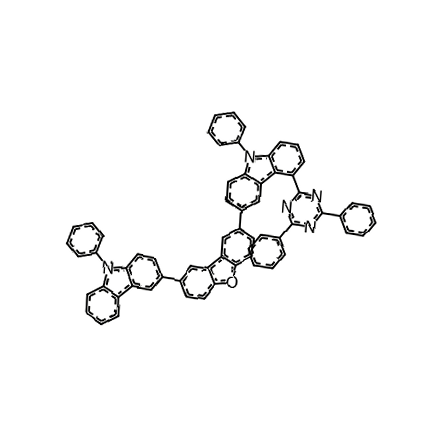 c1ccc(-c2nc(-c3ccccc3)nc(-c3cccc4c3c3cc(-c5ccc6oc7ccc(-c8ccc9c(c8)c8ccccc8n9-c8ccccc8)cc7c6c5)ccc3n4-c3ccccc3)n2)cc1